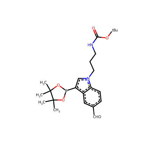 CC(C)(C)OC(=O)NCCCn1cc(B2OC(C)(C)C(C)(C)O2)c2cc(C=O)ccc21